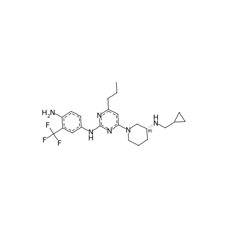 CCCc1cc(N2CCC[C@@H](NCC3CC3)C2)nc(Nc2ccc(N)c(C(F)(F)F)c2)n1